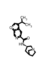 CC(C)c1coc2cnc(C(=O)N[C@@H]3CC4CCN(C4)C3)cc12